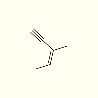 C#CC(C)=CC